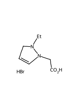 Br.CCN1CC=CN1CC(=O)O